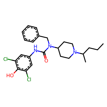 CCCC(C)N1CCC(N(Cc2ccccc2)C(=O)Nc2cc(Cl)c(O)c(Cl)c2)CC1